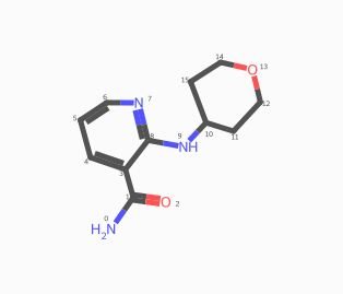 NC(=O)c1cccnc1NC1CCOCC1